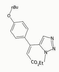 CCCCOc1ccc(C(=CC(=O)OCC)c2cnnn2C)cc1